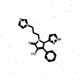 O=C1C(O)=C(c2ccccc2)C(c2cc[nH]n2)N1CCCn1ccnc1